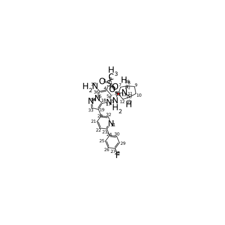 CS(=O)(=O)c1c([C@@H]2C[C@H]3CC[C@@H](C2)N3C(N)=O)nc2c(-c3ccc(-c4ccc(F)cc4)nc3)cnn2c1N